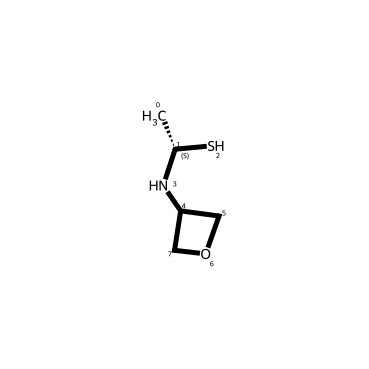 C[C@H](S)NC1COC1